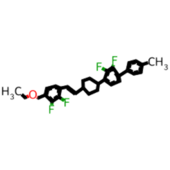 CCOCc1ccc(/C=C/C2CCC(c3ccc(-c4ccc(C)cc4)c(F)c3F)CC2)c(F)c1F